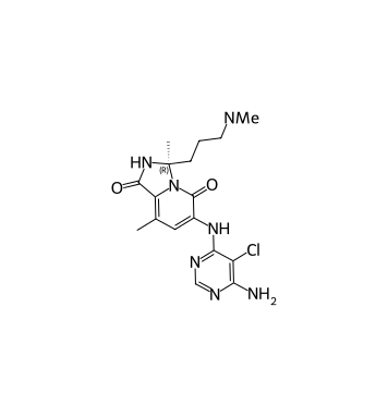 CNCCC[C@]1(C)NC(=O)c2c(C)cc(Nc3ncnc(N)c3Cl)c(=O)n21